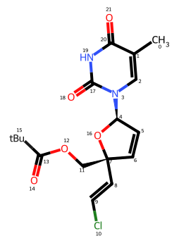 Cc1cn([C@H]2C=C[C@@](C=CCl)(COC(=O)C(C)(C)C)O2)c(=O)[nH]c1=O